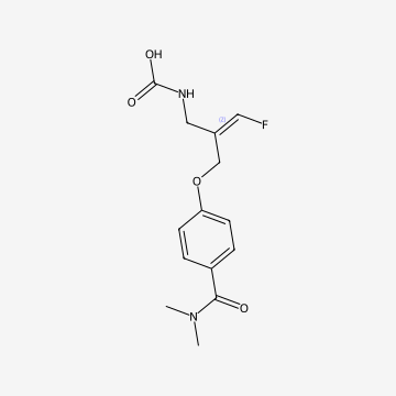 CN(C)C(=O)c1ccc(OC/C(=C\F)CNC(=O)O)cc1